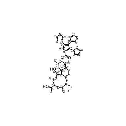 CO[C@H]1CC2C=C[C@H]3[C@H]4O[C@]2(/C(C)=C/[C@@H](C)C(C(C)O)OC1=O)[C@@H]3[C@H](O)[C@@H](C)[C@H]4OC(=O)c1[nH]c(-c2ccsc2)c(-c2ccsc2)c1-c1ccsc1